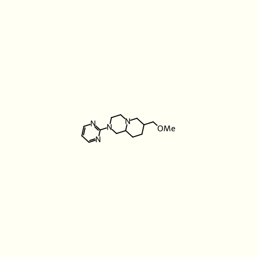 COCC1CCC2CN(c3ncccn3)CCN2C1